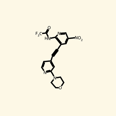 O=C(Nc1ncc([N+](=O)[O-])cc1C#Cc1ccnc(N2CCOCC2)c1)C(F)(F)F